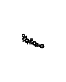 CN1C(=O)CSc2ccc(C(=O)Nc3ccc(CNc4ccccc4)cc3)cc21